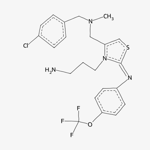 CN(Cc1ccc(Cl)cc1)Cc1csc(=Nc2ccc(OC(F)(F)F)cc2)n1CCCN